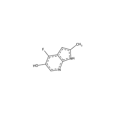 Cc1cc2c(F)c(O)cnc2[nH]1